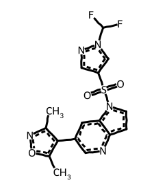 Cc1noc(C)c1-c1cnc2ccn(S(=O)(=O)c3cnn(C(F)F)c3)c2c1